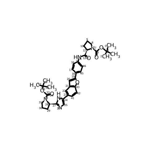 CC(C)(C)OC(=O)N1CCC[C@@H]1C(=O)Nc1ccc(-c2cc3cc(-c4cnc([C@H]5CCCN5C(=O)OC(C)(C)C)[nH]4)ccc3o2)cc1